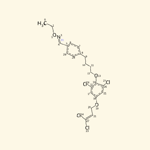 CCO/N=C/c1ccc(CCCCOc2c(Cl)cc(OCC=C(Cl)Cl)cc2Cl)cc1